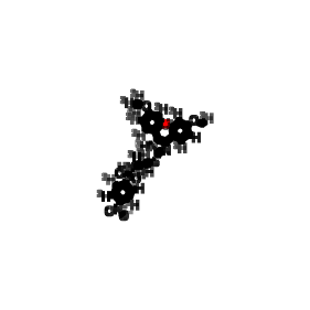 [3H]COc1c([3H])c([3H])c(-c2nc(SC([3H])([3H])C([3H])([3H])NS(=O)(=O)c3c([3H])c([3H])c([N+](=O)[O-])c([3H])c3[3H])n([3H])c2-c2c([3H])c([3H])c(OC([3H])([3H])[3H])c([3H])c2[3H])c([3H])c1[3H]